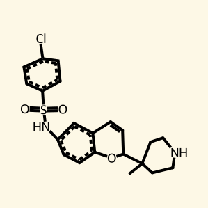 CC1(C2C=Cc3cc(NS(=O)(=O)c4ccc(Cl)cc4)ccc3O2)CCNCC1